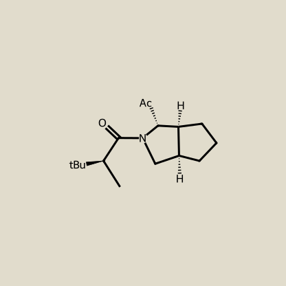 CC(=O)[C@@H]1[C@H]2CCC[C@H]2CN1C(=O)[C@@H](C)C(C)(C)C